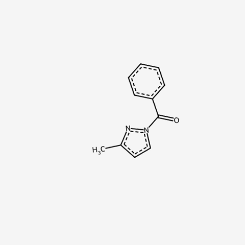 Cc1ccn(C(=O)c2ccccc2)n1